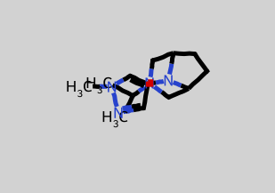 CC(C)N1CC2CCC(C1)N2c1cnn(C)c1